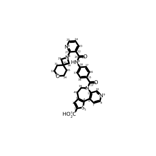 O=C(O)c1cc2c(s1)-c1ccncc1N(C(=O)c1ccc(NC(=O)c3cccnc3N3CC4(CCOCC4)C3)cc1)CC2